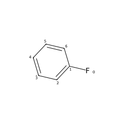 Fc1c[c]ccc1